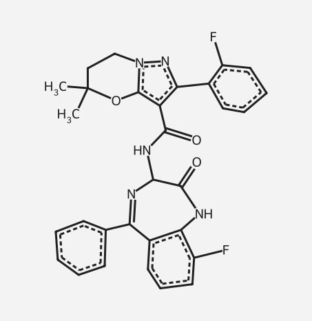 CC1(C)CCn2nc(-c3ccccc3F)c(C(=O)NC3N=C(c4ccccc4)c4cccc(F)c4NC3=O)c2O1